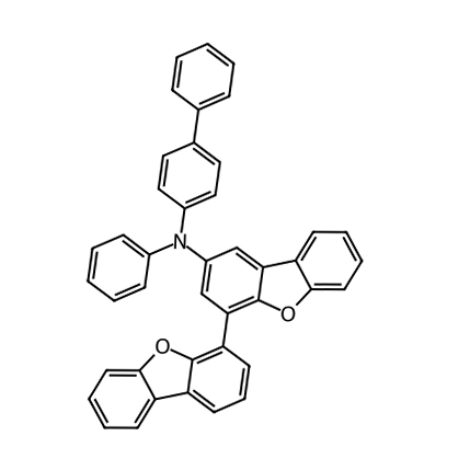 c1ccc(-c2ccc(N(c3ccccc3)c3cc(-c4cccc5c4oc4ccccc45)c4oc5ccccc5c4c3)cc2)cc1